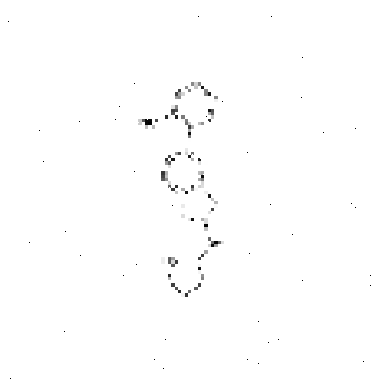 N#Cc1ccccc1-c1ccc2c(c1)CN(C(=O)C1CCCN1)C2